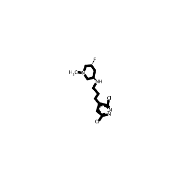 CN1C[C@H](F)C[C@@H](NCCCc2cc(Cl)nnc2Cl)C1